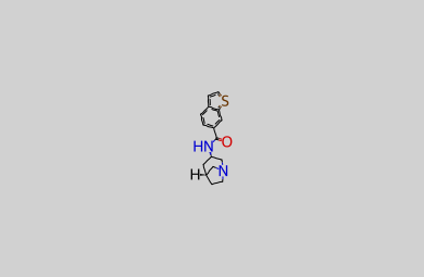 O=C(N[C@@H]1C[C@H]2CCN(C2)C1)c1ccc2ccsc2c1